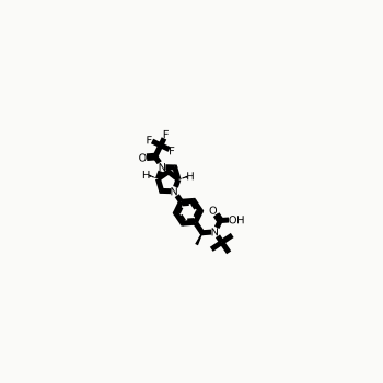 C[C@@H](c1ccc(N2C[C@@H]3C[C@H]2CN3C(=O)C(F)(F)F)cc1)N(C(=O)O)C(C)(C)C